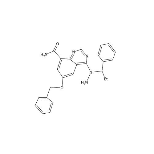 CCC(c1ccccc1)N(N)c1ncnc2c(C(N)=O)cc(OCc3ccccc3)cc12